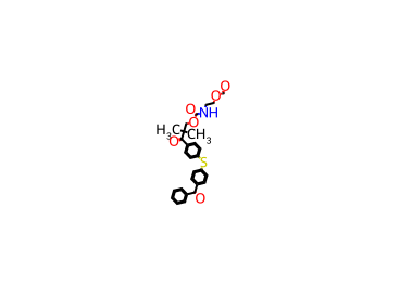 CC(C)(COC(=O)NCCOC=O)C(=O)c1ccc(Sc2ccc(C(=O)c3ccccc3)cc2)cc1